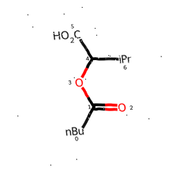 CCCCC(=O)OC(C(=O)O)C(C)C